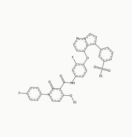 CCOc1ccn(-c2ccc(F)cc2)c(=O)c1C(=O)Nc1ccc(Oc2ccnn3ccc(-c4cccc(S(=O)(=O)CC)c4)c23)c(F)c1